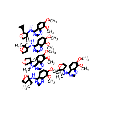 CCC1(Nc2ncnc3c(OC)c(OC)ccc23)CCOC1.COc1ccc2c(N(C)C3(C)CCOC3)ncnc2c1OC.COc1ccc2c(N(C)C3CCOC3C)ncnc2c1OC.COc1ccc2c(NC3CCOC3(C)C)ncnc2c1OC.COc1ccc2c(NC3CCOC3C3CC3)ncnc2c1OC